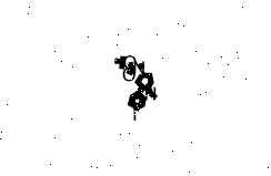 CN(C(=O)OC(C)(C)C)C1CCc2c(c3ccc(I)cc3n2C)C1